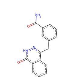 NC(=O)c1cccc(Cc2n[nH]c(=O)c3ccccc23)c1